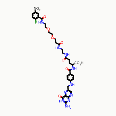 Nc1nc2ncc(CNc3ccc(C(=O)NC(CCC(=O)NCCNC(=O)CCOCCOCCNC(=O)c4cc([N+](=O)[O-])ccc4F)C(=O)O)cc3)nc2c(=O)[nH]1